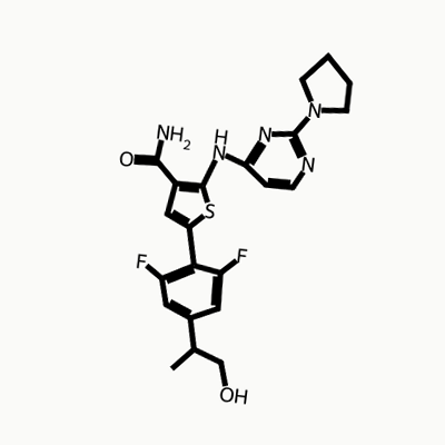 CC(CO)c1cc(F)c(-c2cc(C(N)=O)c(Nc3ccnc(N4CCCC4)n3)s2)c(F)c1